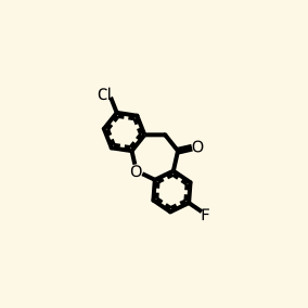 O=C1Cc2cc(Cl)ccc2Oc2ccc(F)cc21